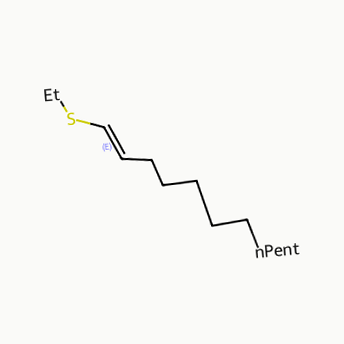 CCCCCCCCCC/C=C/SCC